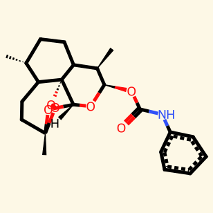 C[C@@H]1CCC2[C@@H](C)[C@@H](OC(=O)Nc3ccccc3)O[C@@H]3O[C@@]4(C)CCC1[C@@]23OO4